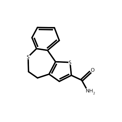 NC(=O)c1cc2c(s1)-c1ccccc1SCC2